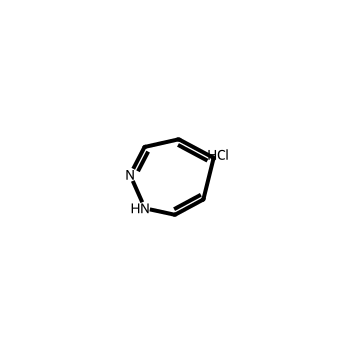 C1=CC=NNC=C1.Cl